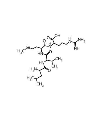 C[Se]CCC(NC(=O)C(NC(=O)C(N)CC(C)C)C(C)C)C(=O)NC(CCCNC(=N)N)C(=O)O